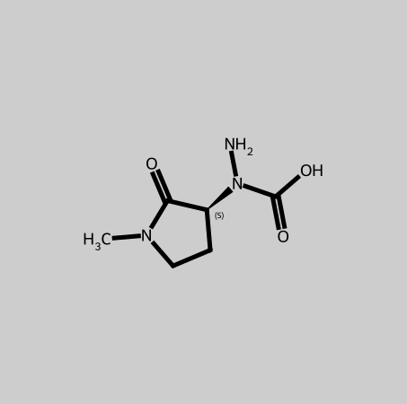 CN1CC[C@H](N(N)C(=O)O)C1=O